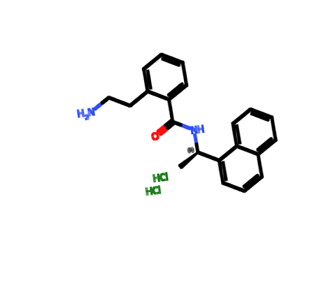 C[C@@H](NC(=O)c1ccccc1CCN)c1cccc2ccccc12.Cl.Cl